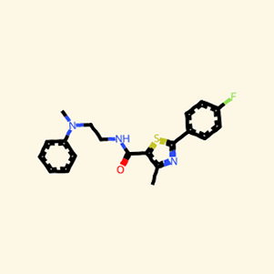 Cc1nc(-c2ccc(F)cc2)sc1C(=O)NCCN(C)c1ccccc1